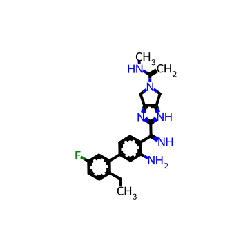 C=C(NC)N1Cc2nc(C(=N)c3ccc(-c4cc(F)ccc4CC)cc3N)[nH]c2C1